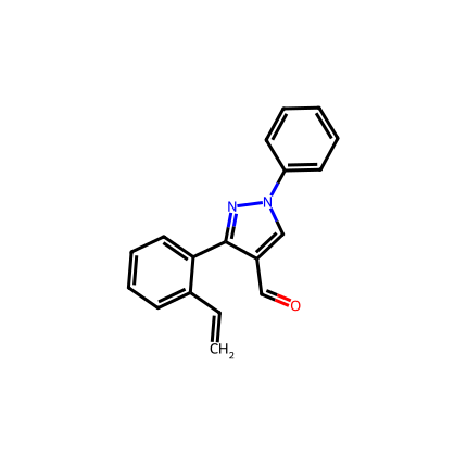 C=Cc1ccccc1-c1nn(-c2ccccc2)cc1C=O